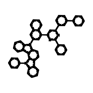 c1ccc(-c2cccc(-c3cc(-c4cc(-n5c6ccccc6c6c5ccc5c7ccccc7n(-c7ccccc7)c56)cc5ccccc45)nc(-c4ccccc4)n3)c2)cc1